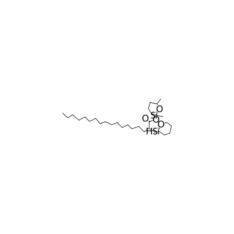 CCCCCCCCCCCCCCCCC(C[SiH]1CCCCO1)C(=O)O[Si]1(C)CCCC(C)O1